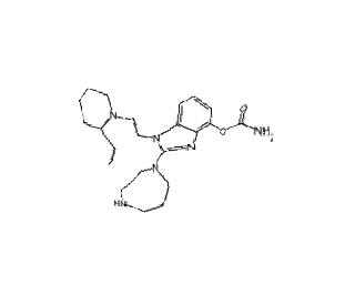 CCC1CCCCN1CCn1c(N2CCCNCC2)nc2c(OC(N)=O)cccc21